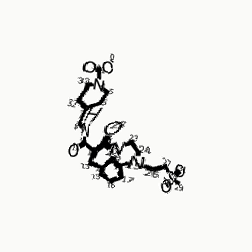 COC(=O)N1CCC(CNC(=O)c2cc3cccc4c3n(c2=O)CCN4CCS(C)(=O)=O)CC1